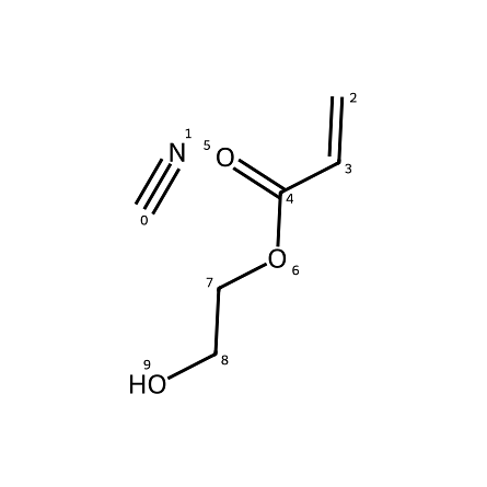 C#N.C=CC(=O)OCCO